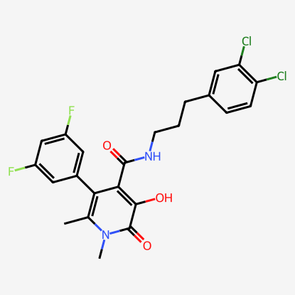 Cc1c(-c2cc(F)cc(F)c2)c(C(=O)NCCCc2ccc(Cl)c(Cl)c2)c(O)c(=O)n1C